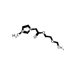 CCOCCOC(=O)Cn1cc[n+](C)c1